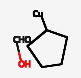 O=CO.[Cu][CH]1CCCC1